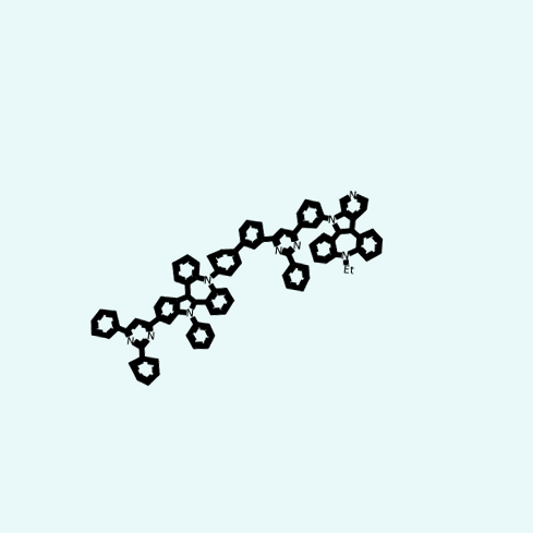 CCN1c2ccccc2C2c3ccncc3N(c3cccc(-c4cc(-c5cccc(-c6ccc(N7c8ccccc8C8c9ccc(-c%10cc(-c%11ccccc%11)nc(-c%11ccccc%11)n%10)cc9N(c9ccccc9)C8c8ccccc87)cc6)c5)nc(-c5ccccc5)n4)c3)C2c2ccccc21